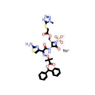 Cn1nnnc1SCC(=O)OC[C@H]1[C@@H](NC(=O)/C(=N\OC(C)(C)C(=O)OC(c2ccccc2)c2ccccc2)c2csc(N)n2)C(=O)N1S(=O)(=O)[O-].[Na+]